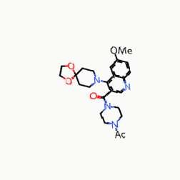 COc1ccc2ncc(C(=O)N3CCN(C(C)=O)CC3)c(N3CCC4(CC3)OCCO4)c2c1